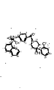 O=C(c1ccc(NS(=O)(=O)c2cccc3cccnc23)cc1)N1CCC(O)(c2ccccc2C(F)(F)F)CC1